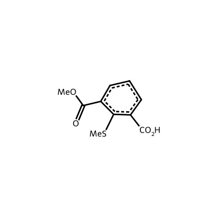 COC(=O)c1cccc(C(=O)O)c1SC